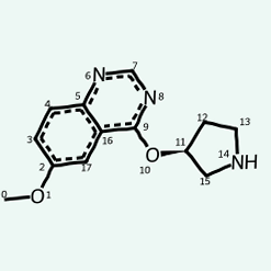 COc1ccc2ncnc(O[C@H]3CCNC3)c2c1